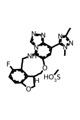 CS(=O)(=O)O.Cc1nc(-c2cc3c(n4cnnc24)NCc2c(F)ccc4c2[C@@H](CO4)CO3)n(C)n1